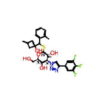 Cc1ccccc1C(S[C@@H]1O[C@H](CO)[C@H](O)[C@H](n2cc(-c3cc(F)c(F)c(F)c3)nn2)[C@H]1O)C1(O)CC(C)C1